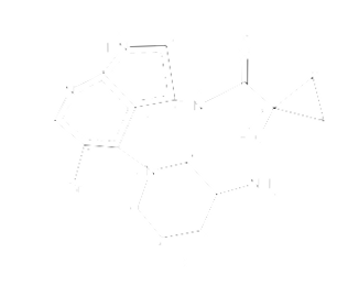 Cl.NC1CCCN(c2c(Br)cnc3[nH]cc(NC(=O)C4(C(F)(F)F)CC4)c23)C1